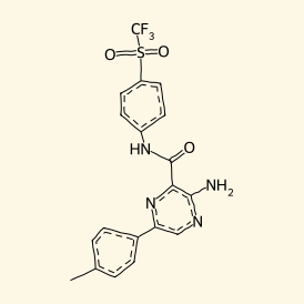 Cc1ccc(-c2cnc(N)c(C(=O)Nc3ccc(S(=O)(=O)C(F)(F)F)cc3)n2)cc1